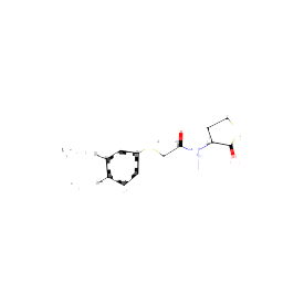 COc1cc(SCC(=O)NC2CCSC2=O)ccc1OC(C)=O